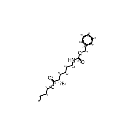 CCCCOC(=O)[C@@H](Br)CCCCNC(=O)OCc1ccccc1